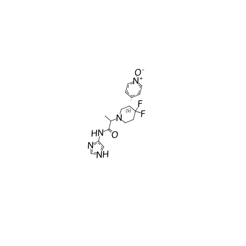 CC(C(=O)Nc1c[nH]cn1)N1CCC(F)(F)[C@@H](c2cc[n+]([O-])cc2)C1